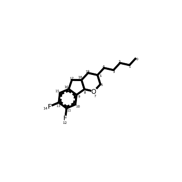 CCCCCC1COC2c3cc(F)c(F)cc3CC2C1